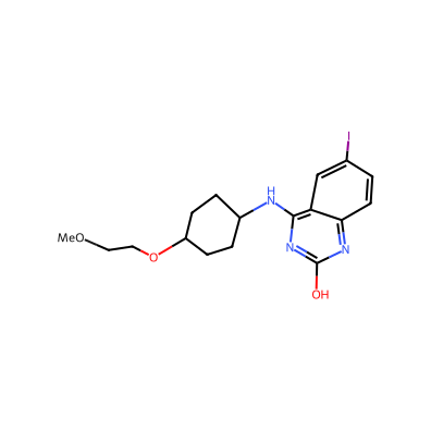 COCCOC1CCC(Nc2nc(O)nc3ccc(I)cc23)CC1